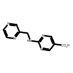 O=C(O)c1cnc(NCc2cnccn2)nc1